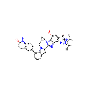 COc1cc(C(=O)N2C[C@H]3CC[C@@H]2[C@@H]3N)cc2nc(-c3cc4cccc(-c5ccc6[nH]c(=O)ccc6c5)c4n3CC3CC3)n(C)c12